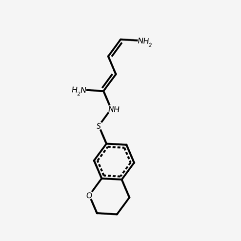 N/C=C\C=C(/N)NSc1ccc2c(c1)OCCC2